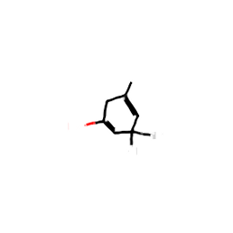 CC1=CC(C)(C(C)C)C=C(O)C1